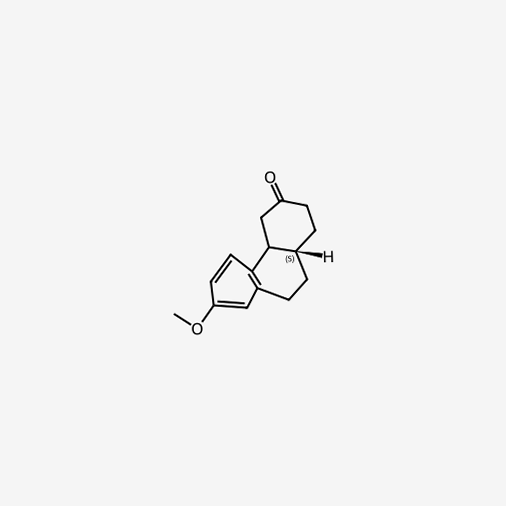 COc1ccc2c(c1)CC[C@H]1CCC(=O)CC21